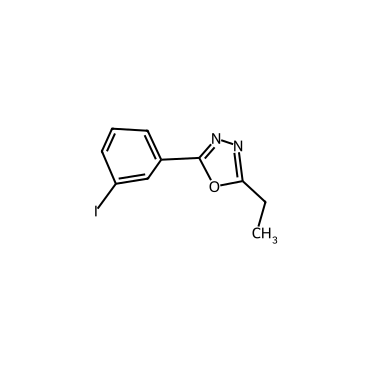 CCc1nnc(-c2cccc(I)c2)o1